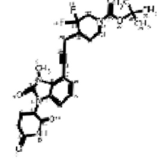 Cn1c(=O)n(C2CCC(=O)NC2=O)c2cccc(C#CCC3CCN(C(=O)OC(C)(C)C)CC3(F)F)c21